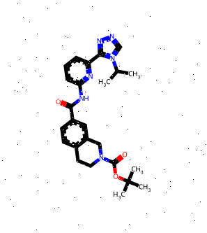 CC(C)n1cnnc1-c1cccc(NC(=O)c2ccc3c(c2)CN(C(=O)OC(C)(C)C)CC3)n1